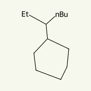 CCCCC(CC)C1CCCCC1